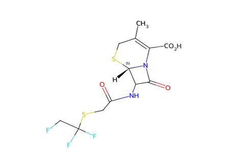 CC1=C(C(=O)O)N2C(=O)C(NC(=O)CSC(F)(F)CF)[C@@H]2SC1